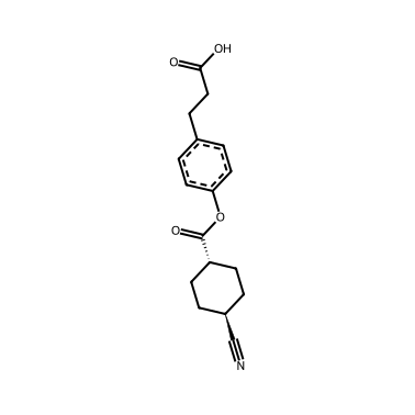 N#C[C@H]1CC[C@H](C(=O)Oc2ccc(CCC(=O)O)cc2)CC1